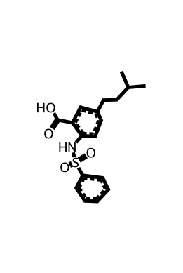 CC(C)CCc1ccc(NS(=O)(=O)c2ccccc2)c(C(=O)O)c1